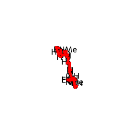 CC[C@H](NC)C(=O)N[C@@H]1C(=O)N2[C@@H](CC[C@@H]1CNC(=O)CCc1cn(CCCCc3ccc(CCCCn4cc([C@@H](NC(=O)[C@@H]5CC[C@@H]6CC[C@H](CNCc7ccccc7)[C@H](NC(=O)[C@H](CC)NC)C(=O)N65)c5ccccc5)nn4)cc3)nn1)CC[C@H]2C(=O)NCc1ccccc1